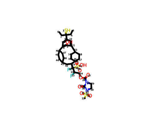 CCC(S)(CC)c1cc2c(O)c(c1)C1CCC(CC1)C(C(F)(C(F)COC(=O)N1CCN(S(C)(=O)=O)C1=O)S(=O)(=O)O)CC1CCC2CC1